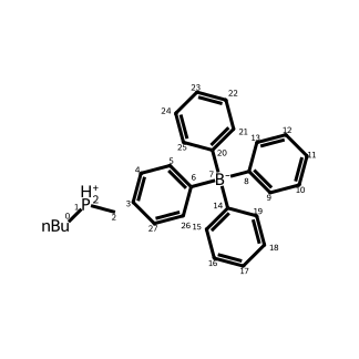 CCCC[PH2+]C.c1ccc([B-](c2ccccc2)(c2ccccc2)c2ccccc2)cc1